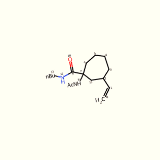 C=CC1CCCCC(NC(C)=O)(C(=O)NCCCC)C1